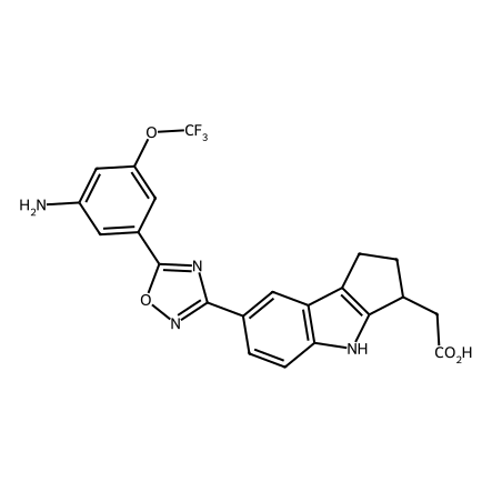 Nc1cc(OC(F)(F)F)cc(-c2nc(-c3ccc4[nH]c5c(c4c3)CCC5CC(=O)O)no2)c1